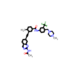 CC(=O)Nc1ncc2ccc(C#Cc3cc(C(=O)Nc4ccc(CN5CCN(C)CC5)c(C(F)(F)F)c4)ccc3C)cc2n1